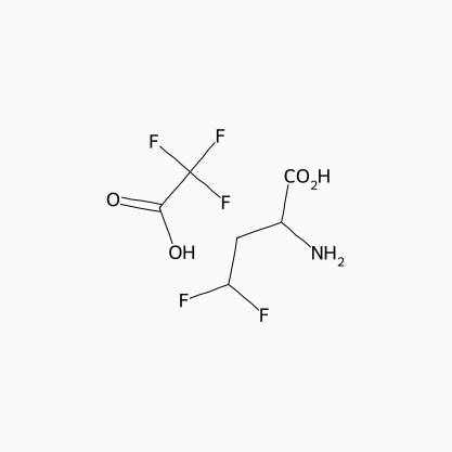 NC(CC(F)F)C(=O)O.O=C(O)C(F)(F)F